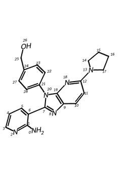 Nc1ncccc1-c1nc2ccc(N3CCCC3)nc2n1-c1ccc(CO)cc1